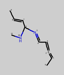 CC=C=C/C=N/C(C=CC)NC